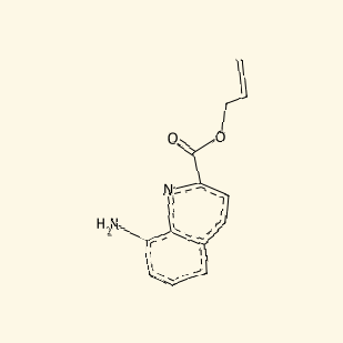 C=CCOC(=O)c1ccc2cccc(N)c2n1